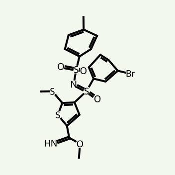 COC(=N)c1cc(S(=O)(=NS(=O)(=O)c2ccc(C)cc2)c2cccc(Br)c2)c(SC)s1